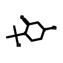 CCN1CCN(C(C)(C)CC)C(=O)C1